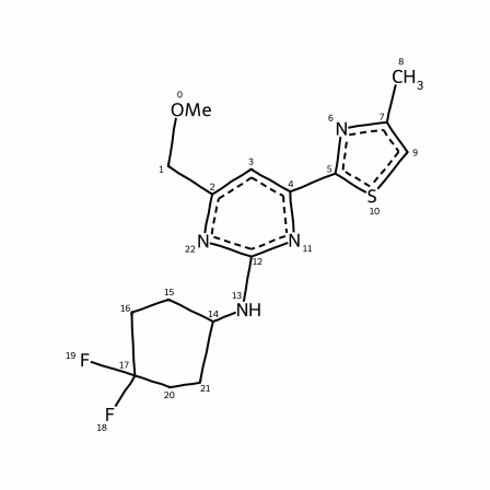 COCc1cc(-c2nc(C)cs2)nc(NC2CCC(F)(F)CC2)n1